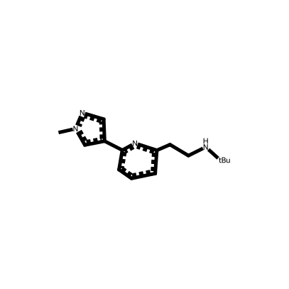 Cn1cc(-c2cccc(CCNC(C)(C)C)n2)cn1